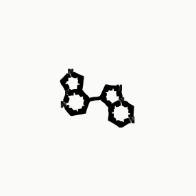 c1cc2c(-c3ccnn4cncc34)cnn2cn1